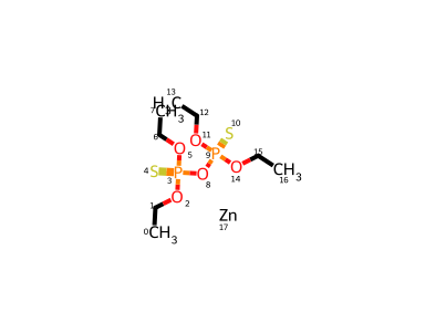 CCOP(=S)(OCC)OP(=S)(OCC)OCC.[Zn]